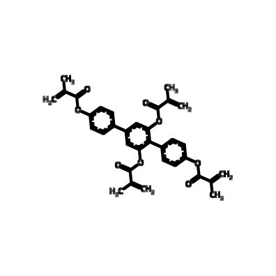 C=C(C)C(=O)Oc1ccc(-c2cc(OC(=O)C(=C)C)c(-c3ccc(OC(=O)C(=C)C)cc3)c(OC(=O)C(=C)C)c2)cc1